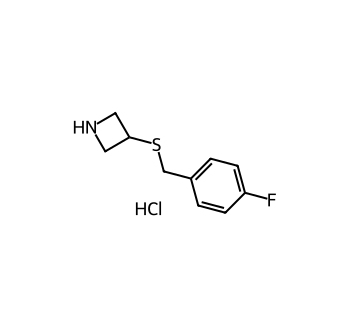 Cl.Fc1ccc(CSC2CNC2)cc1